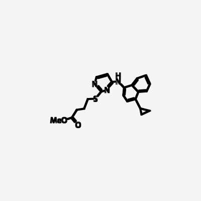 COC(=O)CCCSc1nccc(Nc2ccc(C3CC3)c3ccccc23)n1